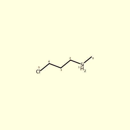 C[SiH2]CCCCl